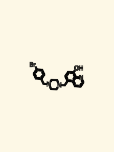 Oc1ccc(CN2CCN(Cc3ccc(Br)cc3)CC2)c2cccnc12